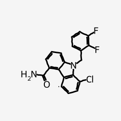 NC(=O)c1cccc2c1c1[c]ccc(Cl)c1n2Cc1cccc(F)c1F